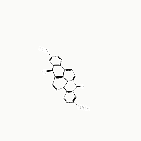 CNc1ccc2c(c1)C(=O)C1=C3C2=CC=C2C(=O)c4cc(NC)ccc4C(C=C1)C23